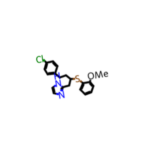 COc1ccccc1SC(CCc1ccc(Cl)cc1)Cc1ncc[nH]1